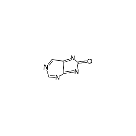 O=C1N=c2cncnc2=N1